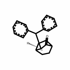 O=C1C2CCC(CC2)[C@H]1C(c1ccccc1)c1ccccc1